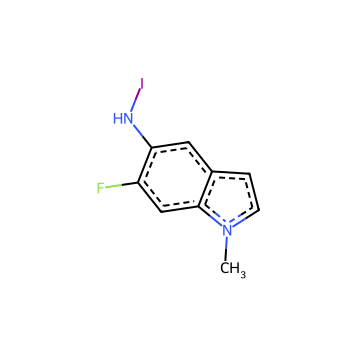 Cn1ccc2cc(NI)c(F)cc21